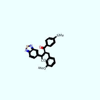 COc1cccc(CC(C(=O)c2ccc(SC)cc2)=C(C(=O)O)c2ccc3nsnc3c2)c1